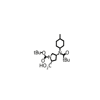 CC1CCC(N(C(=O)C(C)(C)C)[C@H]2C[C@@H](C(=O)O)N(C(=O)OC(C)(C)C)C2)CC1